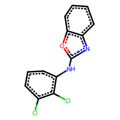 Clc1cccc(Nc2nc3ccccc3o2)c1Cl